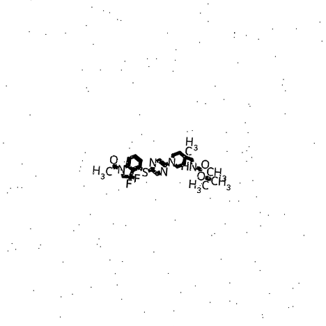 CC(=O)N1CC(F)(F)c2c(Sc3cnc(N4CCC(C)(CNC(=O)OC(C)(C)C)CC4)cn3)cccc21